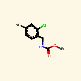 CC(C)(C)OC(=O)NCc1ccc(C#N)cc1Cl